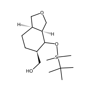 CC(C)(C)[Si](C)(C)OC1[C@@H](CO)CC[C@H]2COC[C@@H]12